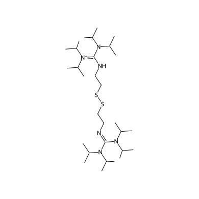 CC(C)N(C(=NCCSSCCNC(N(C(C)C)C(C)C)=[N+](C(C)C)C(C)C)N(C(C)C)C(C)C)C(C)C